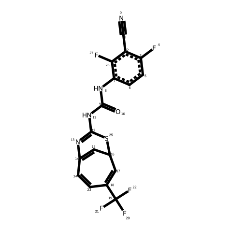 N#Cc1c(F)ccc(NC(=O)NC2=NC3=CC(C=C(C(F)(F)F)C=C3)S2)c1F